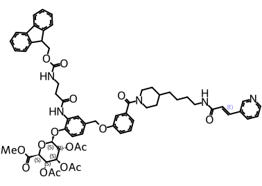 COC(=O)[C@H]1O[C@@H](Oc2ccc(COc3cccc(C(=O)N4CCC(CCCCNC(=O)/C=C/c5cccnc5)CC4)c3)cc2NC(=O)CCNC(=O)OCC2c3ccccc3-c3ccccc32)[C@H](OC(C)=O)[C@@H](OC(C)=O)[C@@H]1OC(C)=O